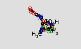 CC1=C2c3c(C4CCC4)sc4ncnc(c34)O[C@@H](C(=O)O)Cc3cc(ccc3OCc3ccnc([C@H]4CC[C@H](OC[C@H]5COCCO5)CC4)n3)O[C@@H](CN3CCN(C)CC3)OC(=C1Cl)C(Cl)C2C